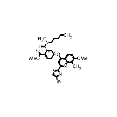 C=CCCCN(C)C(=O)[C@@H]1C[C@H](Oc2cc(-c3nc(C(C)C)cs3)nc3c(C)c(OC)ccc23)CC=C1C(=O)OC